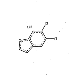 Clc1cc2ccoc2cc1Cl.[LiH]